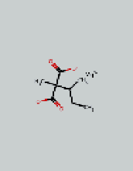 CCC(C)C(C)(C(=O)[O-])C(=O)[O-].[Mg+2]